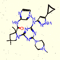 CN1CCN(c2nc(Nc3cc(C4CC4)[nH]n3)nc(N3CC(C)(C)CC3(C)C(=O)Nc3cnccn3)n2)CC1